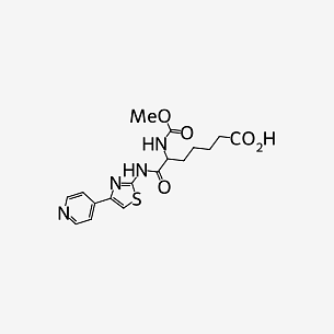 COC(=O)NC(CCCCC(=O)O)C(=O)Nc1nc(-c2ccncc2)cs1